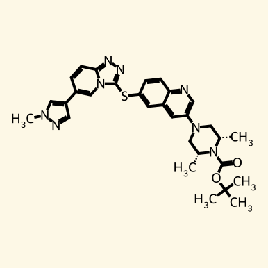 C[C@@H]1CN(c2cnc3ccc(Sc4nnc5ccc(-c6cnn(C)c6)cn45)cc3c2)C[C@H](C)N1C(=O)OC(C)(C)C